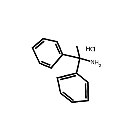 CC(N)(c1ccccc1)c1ccccc1.Cl